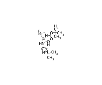 CC(C)n1cc(NC(O)[C@@H]2C[C@@H](F)CN2C(=O)OC(C)(C)C)cn1